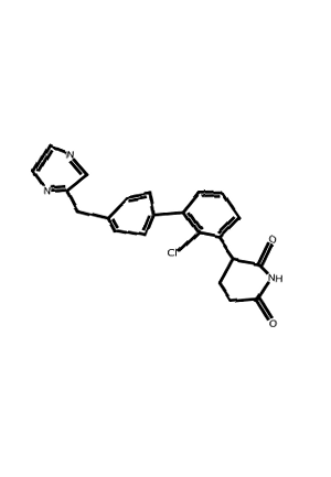 O=C1CCC(c2cccc(-c3ccc(Cc4cnccn4)cc3)c2Cl)C(=O)N1